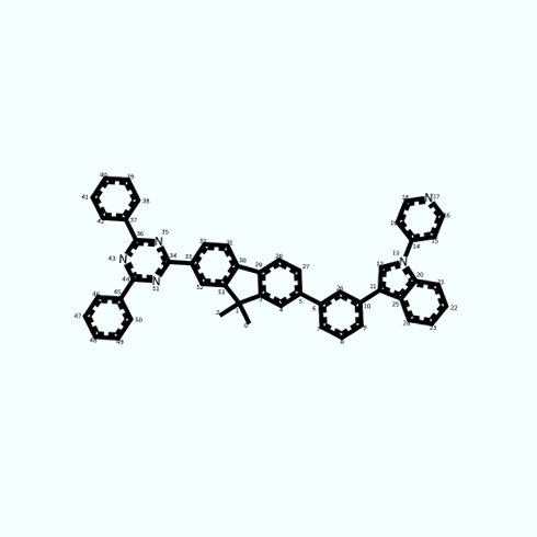 CC1(C)c2cc(-c3cccc(-c4cn(-c5ccncc5)c5ccccc45)c3)ccc2-c2ccc(-c3nc(-c4ccccc4)nc(-c4ccccc4)n3)cc21